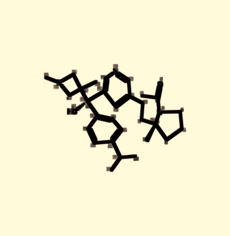 CC(=O)N1CCC[C@]1(C)CCc1cncc([C@@](O)(c2ccc(C(C)C)cc2)C2(C)CN(C)C2)c1